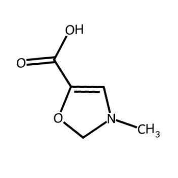 CN1C=C(C(=O)O)OC1